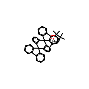 CC1(C)CB(c2cccc3c2C2(c4ccccc4-c4ccccc42)c2ccccc2C32c3ccccc3-c3ccccc32)OC1(C)C